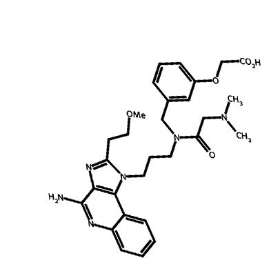 COCCc1nc2c(N)nc3ccccc3c2n1CCCN(Cc1cccc(OCC(=O)O)c1)C(=O)CN(C)C